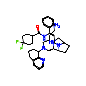 NCCCCN(C[C@H]1NCC2CCC1N2CC[C@@H](NC(=O)C1CCC(F)(F)CC1)c1ccccc1)C1CCCc2cccnc21